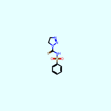 O=S(=O)(NC(=S)N1CCN=N1)c1ccccc1